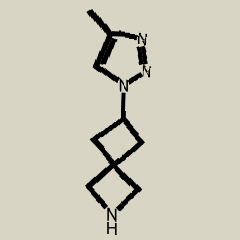 Cc1cn(C2CC3(CNC3)C2)nn1